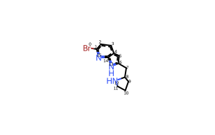 Brc1ccc2cc(CC3CCCN3)[nH]c2n1